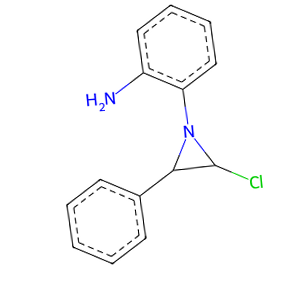 Nc1ccccc1N1C(Cl)C1c1ccccc1